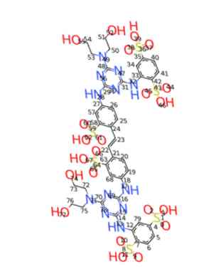 O=S(=O)(O)c1ccc(S(=O)(=O)O)c(Nc2nc(Nc3ccc(C=Cc4ccc(Nc5nc(Nc6cc(S(=O)(=O)O)ccc6S(=O)(=O)O)nc(N(CCO)CCO)n5)cc4S(=O)(=O)O)c(S(=O)(=O)O)c3)nc(N(CCO)CCO)n2)c1